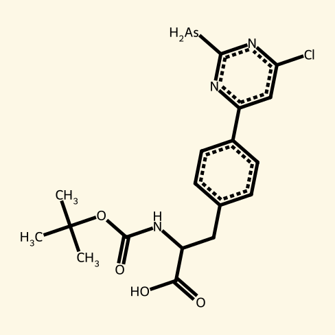 CC(C)(C)OC(=O)NC(Cc1ccc(-c2cc(Cl)nc([AsH2])n2)cc1)C(=O)O